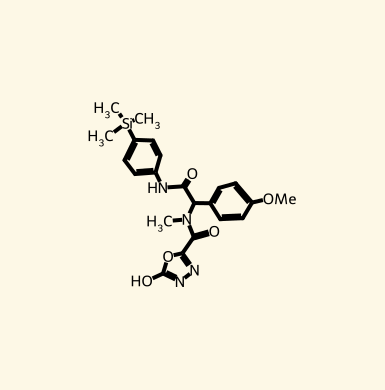 COc1ccc(C(C(=O)Nc2ccc([Si](C)(C)C)cc2)N(C)C(=O)c2nnc(O)o2)cc1